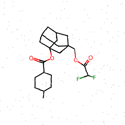 CC1CCC(C(=O)OC23CC4CC(CC(COC(=O)C(F)F)(C4)C2)C3)CC1